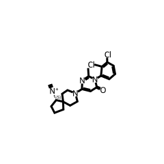 C#[N+][C@H]1CCCC12CCN(c1cc(=O)n(-c3cccc(Cl)c3Cl)c(C)n1)CC2